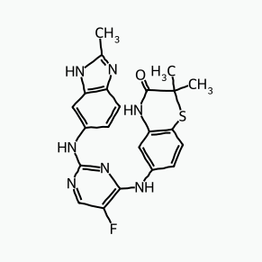 Cc1nc2ccc(Nc3ncc(F)c(Nc4ccc5c(c4)NC(=O)C(C)(C)S5)n3)cc2[nH]1